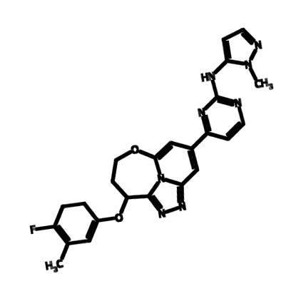 CC1=C(F)CCC(OC2CCOc3cc(-c4ccnc(Nc5ccnn5C)n4)cc4nnc2n34)=C1